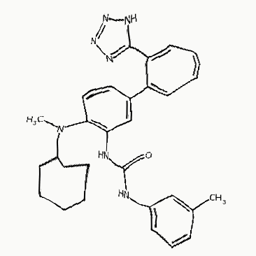 Cc1cccc(NC(=O)Nc2cc(-c3ccccc3-c3nnn[nH]3)ccc2N(C)C2CCCCC2)c1